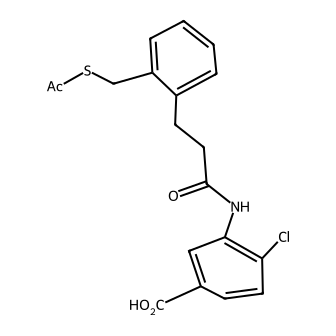 CC(=O)SCc1ccccc1CCC(=O)Nc1cc(C(=O)O)ccc1Cl